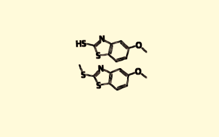 COc1ccc2sc(S)nc2c1.COc1ccc2sc(SC)nc2c1